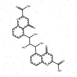 O=C(O)c1cc(=O)c2c(C(O)C(O)C(O)c3cccc4oc(C(=O)O)cc(=O)c34)cccc2o1